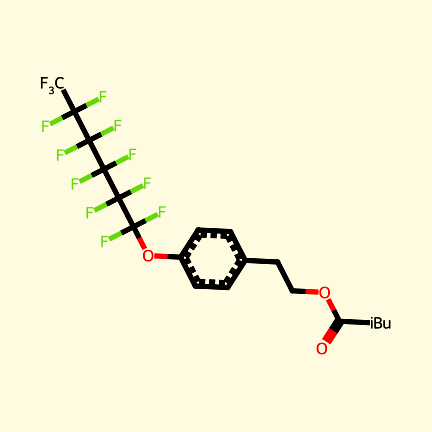 CCC(C)C(=O)OCCc1ccc(OC(F)(F)C(F)(F)C(F)(F)C(F)(F)C(F)(F)C(F)(F)F)cc1